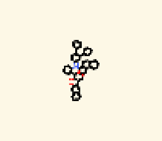 c1ccc(-c2ccc(N(c3ccccc3-c3cccc4c3oc3cc5ccccc5cc34)c3cccc4c3ccc3ccccc34)cc2-c2ccccc2)cc1